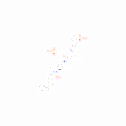 Cc1cc(N=Nc2cc(C)c(N=Nc3ccc4cc(Nc5ccccc5)ccc4c3O)cc2C)c(OCCCS(=O)(=O)O)cc1N=Nc1ccc2c(S(=O)(=O)O)cccc2c1